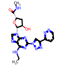 CCNc1nc(-n2cc(-c3cccnn3)nn2)nc2c1ncn2[C@@H]1O[C@H](C(=O)NC)C[C@H]1O